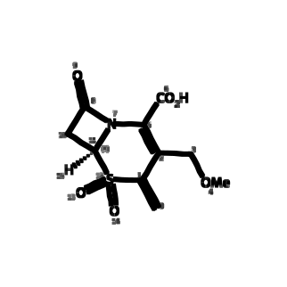 C=C1C(COC)=C(C(=O)O)N2C(=O)C[C@@H]2S1(=O)=O